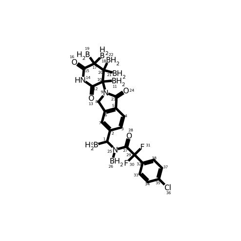 BC(c1ccc2c(c1)CN(C1(B)C(=O)NC(=O)C(B)(B)C1(B)B)C2=O)N(B)C(=O)C(F)(F)c1ccc(Cl)cc1